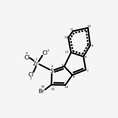 [Cl][Zr]([Cl])([Cl])[S]1=C2C(=Cc3ccccc32)C=C1Br